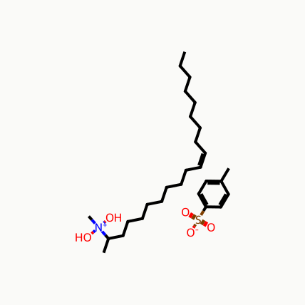 CCCCCCCC/C=C\CCCCCCCCC(C)[N+](C)(O)O.Cc1ccc(S(=O)(=O)[O-])cc1